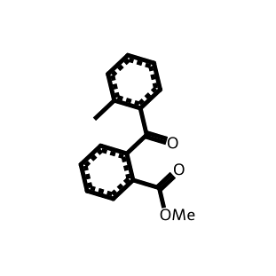 COC(=O)c1ccccc1C(=O)c1ccccc1C